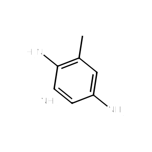 Cc1cc(N)ccc1N.N